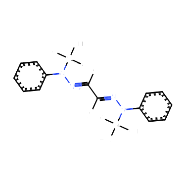 CC(=N\N(c1ccccc1)[Si](C)(C)C)/C(C)=N/N(c1ccccc1)[Si](C)(C)C